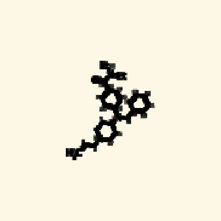 C=CCN1CCC(N(Cc2ccccc2)c2ccc(C(=O)N(CC)CC)cc2)CC1